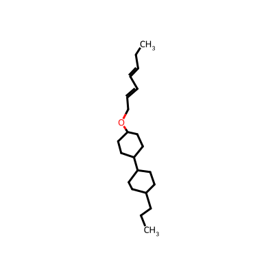 CCC=CC=CCOC1CCC(C2CCC(CCC)CC2)CC1